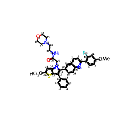 COc1ccc(-c2ccc3cc(-c4c(-c5ccccc5)c5sc(C(=O)O)cc5n4CC(=O)NCCN4CCOCC4)ccc3n2)c(F)c1